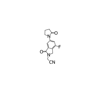 N#CCN1Cc2c(F)cc(N3CCCC3=O)cc2C1=O